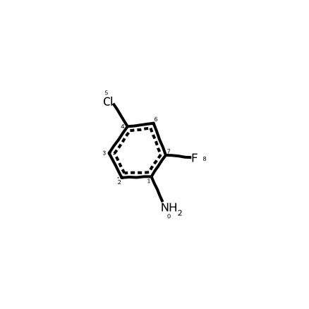 Nc1[c]cc(Cl)cc1F